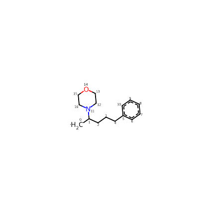 [CH2]C(CCCc1ccccc1)N1CCOCC1